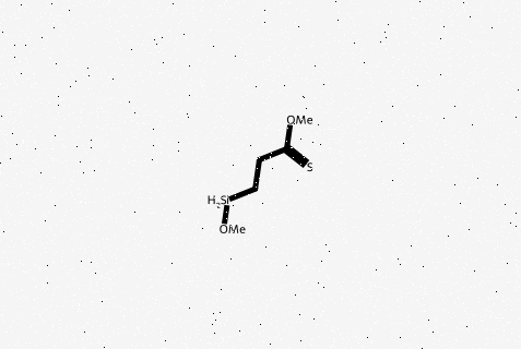 CO[SiH2]CCC(=S)OC